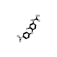 O=C(O)Nc1ccc(Oc2ccc([N+](=O)[O-])cc2)c(F)c1